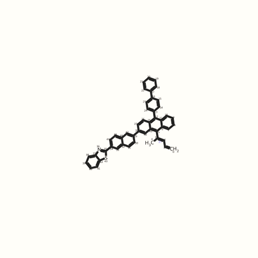 C=C/C=C(\C)c1c2ccccc2c(-c2ccc(-c3ccccc3)cc2)c2ccc(-c3ccc4cc(-c5nc6ccccc6s5)ccc4c3)cc12